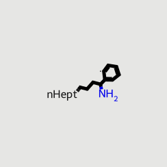 CCCCCCCCCCC(N)c1[c]cccc1